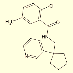 Cc1ccc(Cl)c(C(=O)NCC2(c3cccnc3)CCCC2)c1